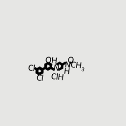 CC(=O)NCC1CCN(Cc2cc(O)cc(-c3cc(Cl)cc(Cl)c3)c2)CC1.Cl